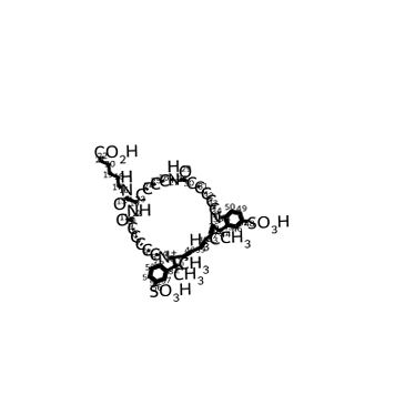 CC1(C)C2=[N+](CCCCCC(=O)NC(C(=O)NCCCCCC(=O)O)CCCCNC(=O)CCCCCN3/C(=C/C=C/C=C/2)C(C)(C)c2cc(S(=O)(=O)O)ccc23)c2ccc(S(=O)(=O)O)cc21